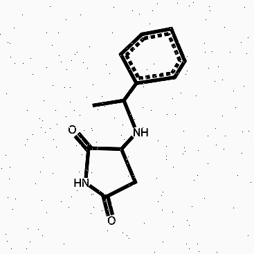 CC(NC1CC(=O)NC1=O)c1ccccc1